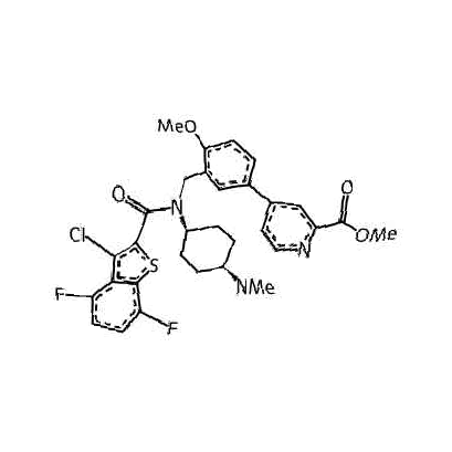 CN[C@H]1CC[C@@H](N(Cc2cc(-c3ccnc(C(=O)OC)c3)ccc2OC)C(=O)c2sc3c(F)ccc(F)c3c2Cl)CC1